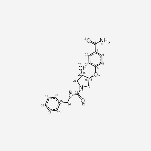 NC(=O)c1ccc(O[C@H]2CN(C(=O)OCc3ccccc3)C[C@@H]2O)cc1